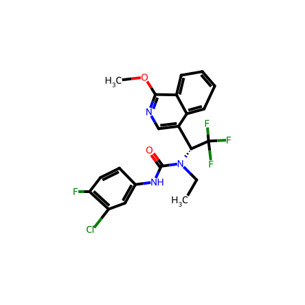 CCN(C(=O)Nc1ccc(F)c(Cl)c1)[C@H](c1cnc(OC)c2ccccc12)C(F)(F)F